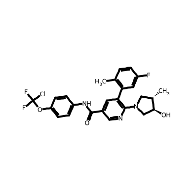 Cc1ccc(F)cc1-c1cc(C(=O)Nc2ccc(OC(F)(F)Cl)cc2)cnc1N1C[C@H](C)[C@@H](O)C1